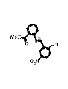 COC(=O)c1ccccc1/N=C/c1cc([N+](=O)[O-])ccc1O